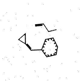 C(=C1CC1)c1ccccc1.C=CCC(C)C